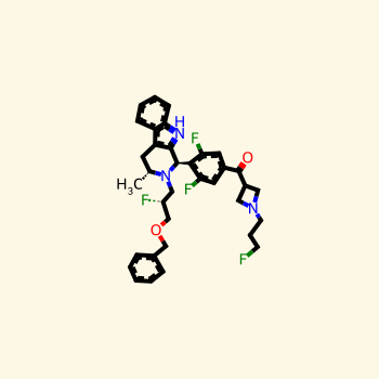 C[C@@H]1Cc2c([nH]c3ccccc23)[C@@H](c2c(F)cc(C(=O)C3CN(CCCF)C3)cc2F)N1C[C@@H](F)COCc1ccccc1